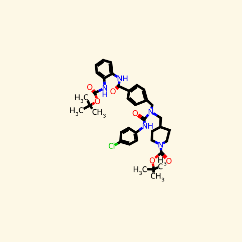 CC(C)(C)OC(=O)Nc1ccccc1NC(=O)c1ccc(CN(CC2CCN(C(=O)OC(C)(C)C)CC2)C(=O)Nc2ccc(Cl)cc2)cc1